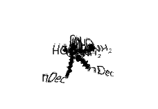 CCCCCCCCCCCCCCCCCCN(C(=O)CCCCCCCCCCCCCCCCC)[C@@H]1O[C@H](CO)[C@@H](O)[C@H](O)[C@H]1NC(=O)[C@@H](N)CCC(N)=O